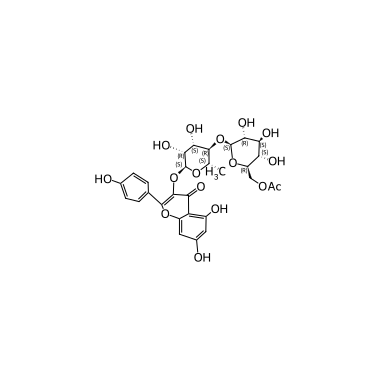 CC(=O)OC[C@H]1O[C@@H](O[C@@H]2[C@@H](O)[C@@H](O)[C@H](Oc3c(-c4ccc(O)cc4)oc4cc(O)cc(O)c4c3=O)O[C@H]2C)[C@H](O)[C@@H](O)[C@@H]1O